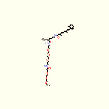 CCCOCCOCCOCCC(=O)NCCCOCCOCCOCCCNC(=O)[C@H](CCCCNC(=O)/C=C(C)/C=C/C=C(C)/C=C/C1=C(C)CCCC1(C)C)NC